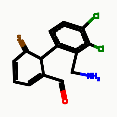 NCc1c(C2C(=S)C=CC=C2C=O)ccc(Cl)c1Cl